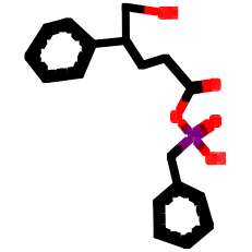 O=C(CCC(CO)c1ccccc1)OP(=O)(O)Cc1ccccc1